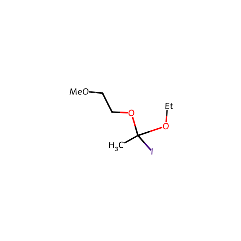 CCOC(C)(I)OCCOC